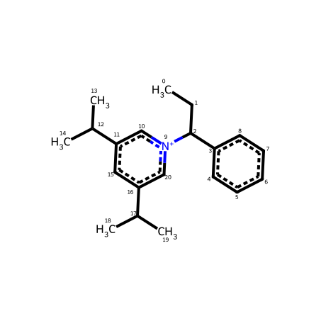 CCC(c1ccccc1)[n+]1cc(C(C)C)cc(C(C)C)c1